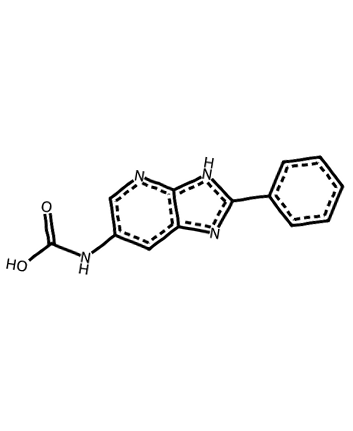 O=C(O)Nc1cnc2[nH]c(-c3ccccc3)nc2c1